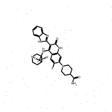 NC(=O)C1CCN(c2cc3[nH]c(=O)c(-c4nc5ccccc5[nH]4)c(N[C@H]4CN5CCC4CC5)c3cc2F)CC1